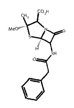 CO[C@@]1(C)S[C@@H]2C(NC(=O)Cc3ccccc3)C(=O)N2C1C(=O)O